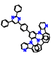 c1ccc(-c2cc(-c3ccc(-c4cc(-n5c6ccccc6c6ncccc65)c(-n5c6ccccc6c6ccccc65)c(-n5c6ccccc6c6ncccc65)c4)cc3)nc(-c3ccccc3)n2)cc1